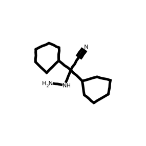 N#CC(NN)(C1CCCCC1)C1CCCCC1